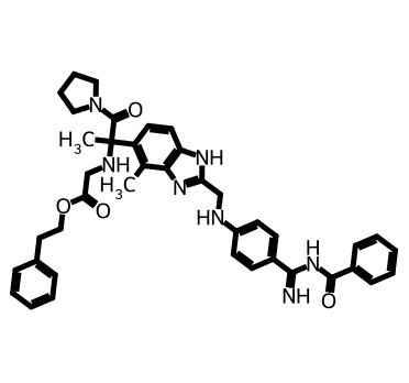 Cc1c(C(C)(NCC(=O)OCCc2ccccc2)C(=O)N2CCCC2)ccc2[nH]c(CNc3ccc(C(=N)NC(=O)c4ccccc4)cc3)nc12